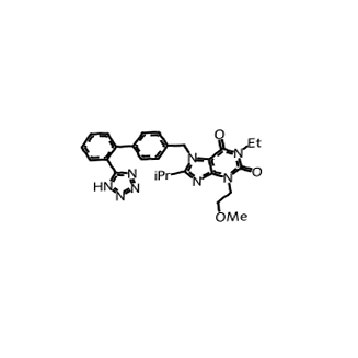 CCn1c(=O)c2c(nc(C(C)C)n2Cc2ccc(-c3ccccc3-c3nnn[nH]3)cc2)n(CCOC)c1=O